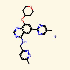 Cc1cnc(-c2cc(OC3CCOCC3)c3ncnc(NCc4ccc(C)nn4)c3c2)nc1.[N]